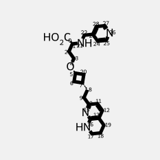 O=C(O)[C@H](CCO[C@H]1C[C@@H](CCc2ccc3c(n2)NCCC3)C1)NCc1ccncc1